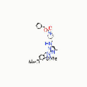 COc1ccc(CNc2nc(C)cc(NCC3CCN(C(=O)OCc4ccccc4)CC3)n2)c(OC)c1